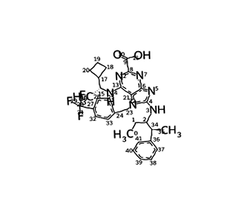 CCC(Nc1nc2nc(C(=O)O)nc(N[C@H](C)C3CCC3)c2n1Cc1ccc(C(F)(F)F)cc1)[C@@H](C)c1ccccc1